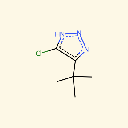 CC(C)(C)c1nn[nH]c1Cl